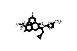 COc1cc(F)cc(-c2nn(-c3nc(C(=O)O)cs3)c(CC3CC3)c2Cc2ccc(S(N)(=O)=O)c(F)c2)c1